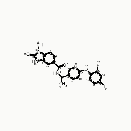 CC(NC(=O)c1ccc2c(c1)[nH]c(=O)n2C)c1ccc(Oc2ccc(F)cc2F)nc1